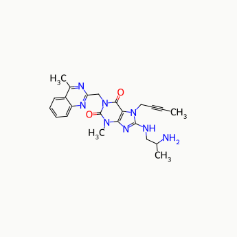 CC#CCn1c(NCC(C)N)nc2c1c(=O)n(Cc1nc(C)c3ccccc3n1)c(=O)n2C